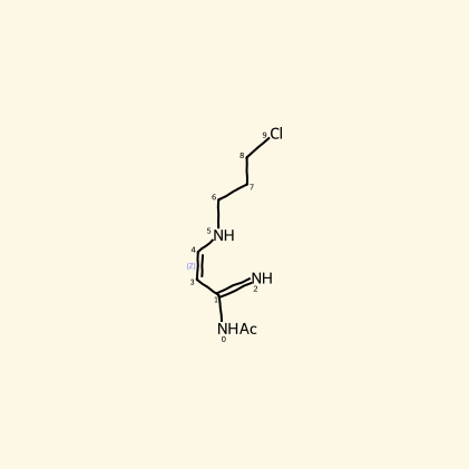 CC(=O)NC(=N)/C=C\NCCCCl